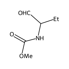 CCC(C=O)NC(=O)OC